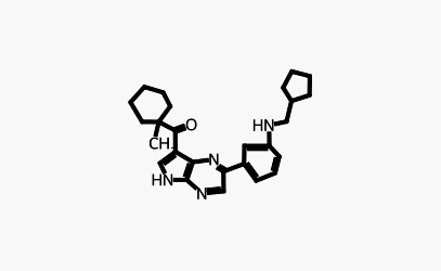 CC1(C(=O)c2c[nH]c3ncc(-c4cccc(NCC5CCCC5)c4)nc23)CCCCC1